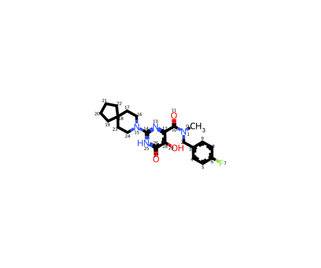 CN(Cc1ccc(F)cc1)C(=O)c1nc(N2CCC3(CCCC3)CC2)[nH]c(=O)c1O